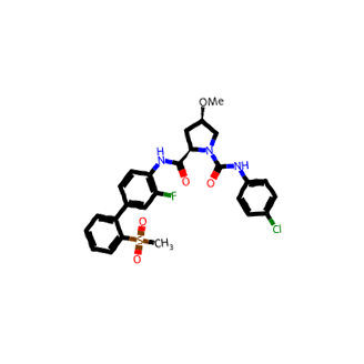 CO[C@@H]1C[C@H](C(=O)Nc2ccc(-c3ccccc3S(C)(=O)=O)cc2F)N(C(=O)Nc2ccc(Cl)cc2)C1